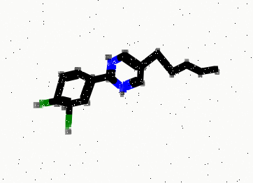 CCCCCc1cnc(-c2ccc(F)c(F)c2)nc1